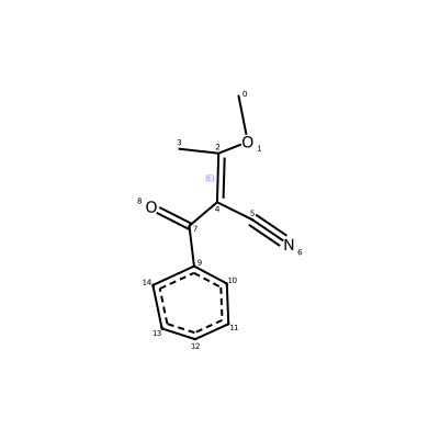 CO/C(C)=C(\C#N)C(=O)c1ccccc1